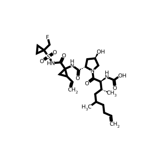 C=CCCC(C)C[C@@H](C)[C@H](NC(=O)O)C(=O)N1C[C@H](O)C[C@H]1C(=O)NC1(C(=O)NS(=O)(=O)C2(CF)CC2)CC1C=C